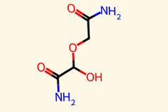 NC(=O)COC(O)C(N)=O